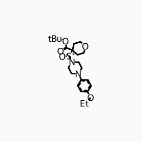 CCOc1ccc(N2CCN([S+]([O-])C3(C(=O)OC(C)(C)C)CCOCC3)CC2)cc1